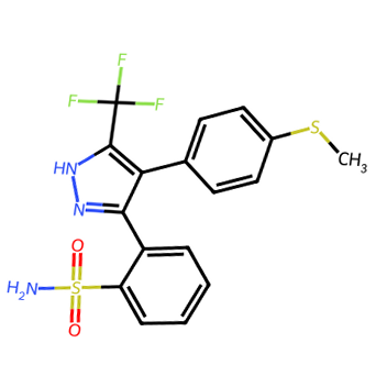 CSc1ccc(-c2c(-c3ccccc3S(N)(=O)=O)n[nH]c2C(F)(F)F)cc1